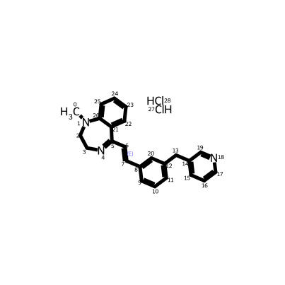 CN1CCN=C(/C=C/c2cccc(Cc3cccnc3)c2)c2ccccc21.Cl.Cl